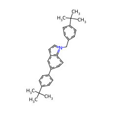 CC(C)(C)c1ccc(Cn2ccc3cc(-c4ccc(C(C)(C)C)cc4)ccc32)cc1